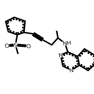 CC(CC#Cc1ccccc1S(C)(=O)=O)Nc1ncnc2ccccc12